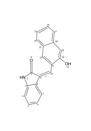 O=C1Nc2ccccc2/C1=C/c1cc2ccccc2cc1O